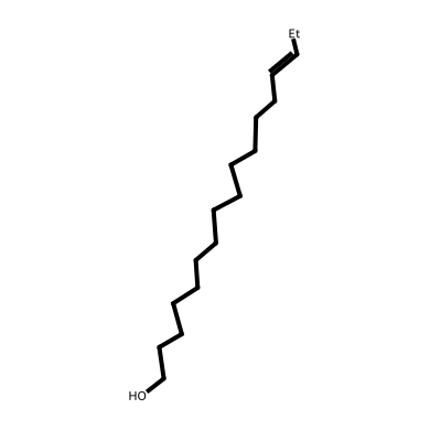 CCC=CCCCCCCCCCCCCCO